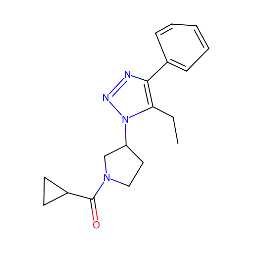 CCc1c(-c2ccccc2)nnn1C1CCN(C(=O)C2CC2)C1